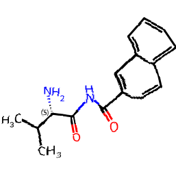 CC(C)[C@H](N)C(=O)NC(=O)c1ccc2ccccc2c1